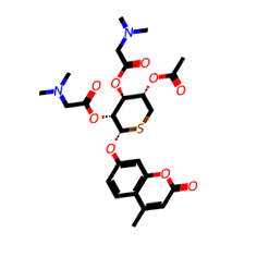 CC(=O)O[C@@H]1CS[C@H](Oc2ccc3c(C)cc(=O)oc3c2)[C@H](OC(=O)CN(C)C)[C@H]1OC(=O)CN(C)C